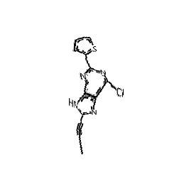 CC#Cc1nc2c(Cl)nc(-c3cccs3)nc2[nH]1